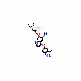 CCN(CC)C[C@@H](O)COc1cc2nccc(Oc3ccc(N)c(CI)c3)c2cc1C#N